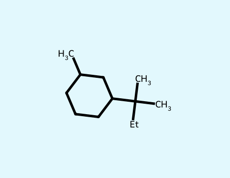 CCC(C)(C)C1CCCC(C)C1